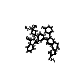 Cc1cc2ncc3cc(-c4cccc(F)c4)c(-c4ccc([C@]5(N6C(=O)c7ccccc7C6=O)C[C@@](C)(O)C5)cc4)nc3n2n1